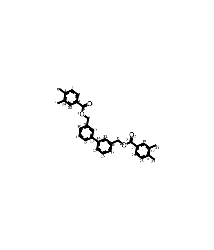 Cc1ccc(C(=O)OCc2cccc(-c3cccc(COC(=O)c4ccc(C)c(C)c4)c3)c2)cc1C